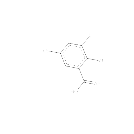 O=C(O)c1cc(Cl)cc(I)c1Cl